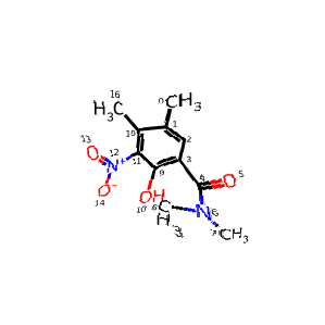 Cc1cc(C(=O)N(C)C)c(O)c([N+](=O)[O-])c1C